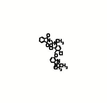 Cc1nc2c(OCc3c(Cl)ccc(N(C)C(=O)CN4C(=O)c5ccccc5C4=O)c3Cl)cccc2n1C